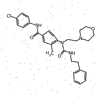 Cc1cc(C(=O)Nc2ccc(Cl)cc2)ccc1N(CCN1CCOCC1)C(=O)NCCc1ccccc1